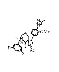 COc1cc(C2CN(C(C)=O)CC23CCCN([C@@H](C)c2cc(F)cc(F)c2)C3=O)ccc1-n1cnc(C)c1